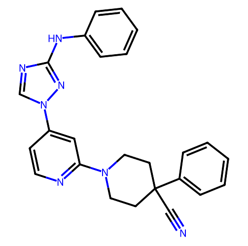 N#CC1(c2ccccc2)CCN(c2cc(-n3cnc(Nc4ccccc4)n3)ccn2)CC1